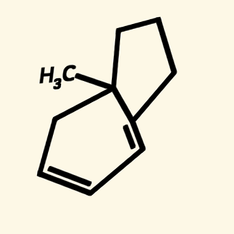 CC12CC=CC=C1CCC2